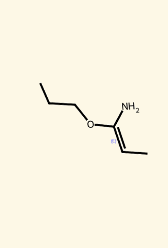 C/C=C(\N)OCCC